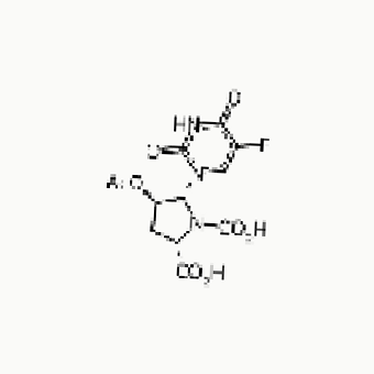 CC(=O)O[C@@H]1C[C@@H](C(=O)O)N(C(=O)O)[C@H]1n1cc(F)c(=O)[nH]c1=O